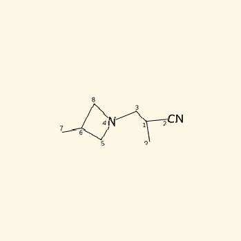 CC(C#N)CN1CC(C)C1